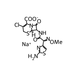 CON=C(C(=O)NC1C(=O)N2C(C(=O)[O-])=C(Cl)CS[C@@H]12)c1csc(N)n1.[Na+]